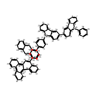 c1ccc(-n2c3ccccc3c3cc(-c4ccc5c(c4)c4ccccc4n5-c4ccc(-c5ccc(-c6cc7c8ccccc8c8ccccc8c7c7ccccc67)c6c5C5c7ccccc7C6c6ccccc65)cc4)ccc32)cc1